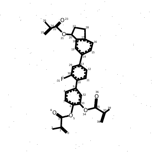 C=C(C)C(=O)Oc1ccc(-c2ccc(-c3ccc4c(c3)C(OC(=O)C(=C)C)CC4)cc2F)cc1OC(=O)C(=C)C